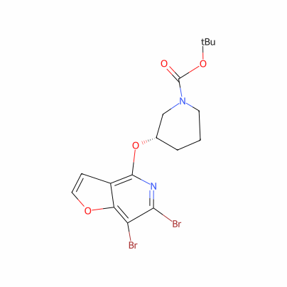 CC(C)(C)OC(=O)N1CCC[C@H](Oc2nc(Br)c(Br)c3occc23)C1